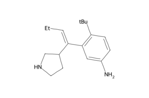 CCC=C(c1cc(N)ccc1C(C)(C)C)C1CCNC1